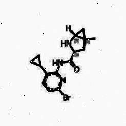 C[C@@]12C[C@@H](C(=O)Nc3nc(Br)ccc3C3CC3)N[C@@H]1C2